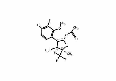 COc1c([C@H]2[C@H](OC(C)=O)O[C@@](C)(C(F)(F)F)[C@H]2C)ccc(F)c1F